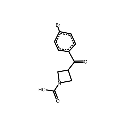 O=C(c1ccc(Br)cc1)C1CN(C(=O)O)C1